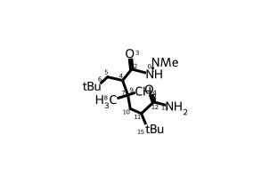 CNNC(=O)C(CC(C)(C)C)C(C)(C)CC(C(N)=O)C(C)(C)C